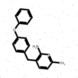 Cc1ccc(Cc2ccc(Oc3ccccc3)cc2)c(N)n1